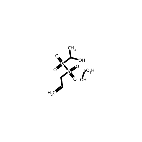 C=CCS(=O)(=O)S(=O)(=O)C(C)O.O=S(=O)(O)O